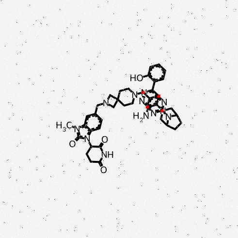 Cn1c(=O)n(C2CCC(=O)NC2=O)c2ccc(CN3CC4(CCN(Cc5cnc(N6C7CCC6CN(c6cc(-c8ccccc8O)nnc6N)C7)nc5)CC4)C3)cc21